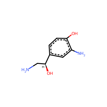 NC[C@H](O)c1ccc(O)c(N)c1